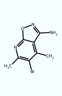 Cc1nc2onc(N)c2c(C)c1Br